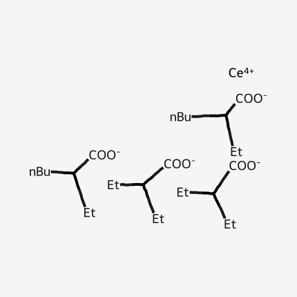 CCC(CC)C(=O)[O-].CCC(CC)C(=O)[O-].CCCCC(CC)C(=O)[O-].CCCCC(CC)C(=O)[O-].[Ce+4]